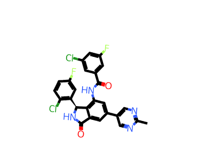 Cc1ncc(-c2cc(NC(=O)c3cc(F)cc(Cl)c3)c3c(c2)C(=O)N[C@H]3c2cc(F)ccc2Cl)cn1